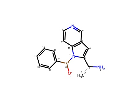 C[C@@H](N)c1cc2cnccc2n1[S+]([O-])c1ccccc1